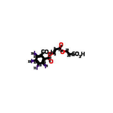 O=C(CCOC(=O)c1c(I)c(I)c(I)c(I)c1C(=O)O)OCCS(=O)(=O)O